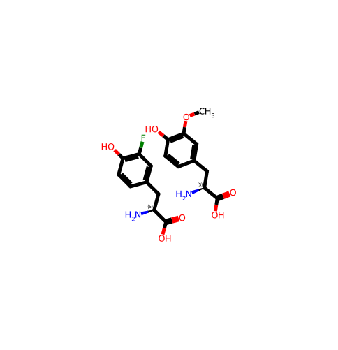 COc1cc(C[C@H](N)C(=O)O)ccc1O.N[C@@H](Cc1ccc(O)c(F)c1)C(=O)O